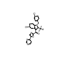 O=C(c1ncc(-c2ccncn2)o1)c1c(C(F)(F)F)n(Cc2ccc(Cl)cc2)c2ccc(Cl)cc12